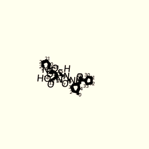 Cc1ccc(NC(=O)Nc2nc(C(=O)O)c(S(=O)(=O)c3ccccn3)s2)c(C(=O)C2CCCC2)c1